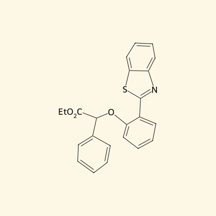 CCOC(=O)C(Oc1ccccc1-c1nc2ccccc2s1)c1ccccc1